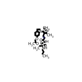 C=CC(NCCCC)S(=O)(=O)NC(=O)/C=C/c1c(C)nn(C)c1-n1ccc2ccc(OCC(C)=O)cc21